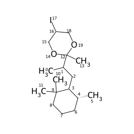 CC(CC1[C@H](C)CCCC1(C)C)C1(C)OCC(I)CO1